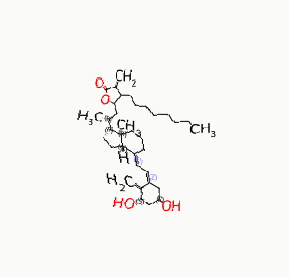 C=C1C(=O)OC(C[C@@H](C)[C@H]2CC[C@H]3/C(=C/C=C4/C[C@@H](O)C[C@H](O)C4=C)CCC[C@]23C)C1CCCCCCCC